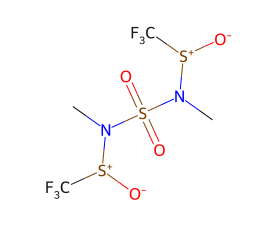 CN([S+]([O-])C(F)(F)F)S(=O)(=O)N(C)[S+]([O-])C(F)(F)F